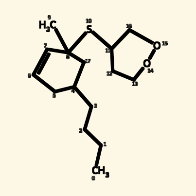 CCCCC1CC=CC(C)(SC2CCOOC2)C1